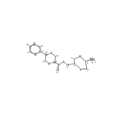 NC1CCC(OCC(=O)N2CCN(c3ccccc3)CC2)CC1